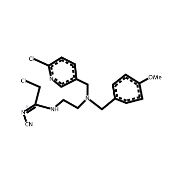 COc1ccc(CN(CCN/C(CCl)=N\C#N)Cc2ccc(Cl)nc2)cc1